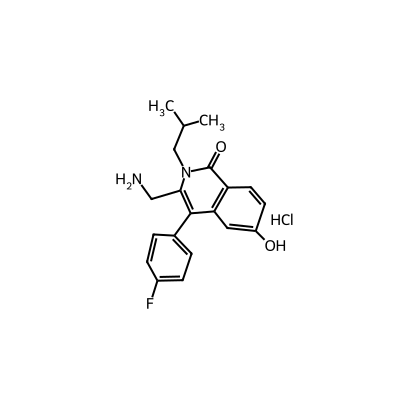 CC(C)Cn1c(CN)c(-c2ccc(F)cc2)c2cc(O)ccc2c1=O.Cl